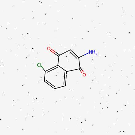 NC1=CC(=O)c2c(Cl)cccc2C1=O